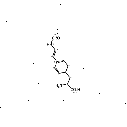 N[C@@H](CC1C=CC(/C=N/NC=O)=CC1)C(=O)O